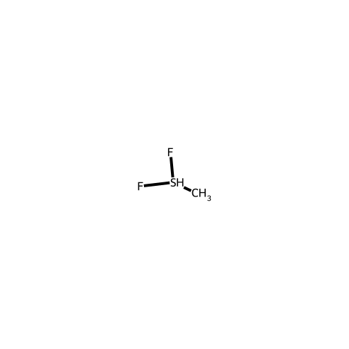 C[SH](F)F